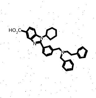 O=C(O)c1ccc2c(c1)nc(-c1cccc(CN(CCc3ccccc3)Cc3ccccc3)c1)n2C1CCCCC1